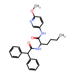 CCCCC(NC(=O)C(c1ccccc1)c1ccccc1)C(=O)Nc1ccc(OC)nc1